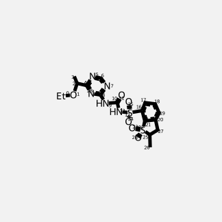 CCOC(C)c1ncnc(NC(=O)NS(=O)(=O)c2cccc3c2S(=O)(=O)C(C)C3)n1